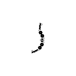 c1cc(-c2ccc(Oc3cncc(Oc4ccc(-c5ccc(OCCCCC6CO6)cc5)cc4)n3)cc2)ccc1OCCCCC1CO1